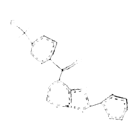 O=C(c1ccc(C(F)(F)F)cc1)c1ccnc2nc(-c3ccccc3)oc12